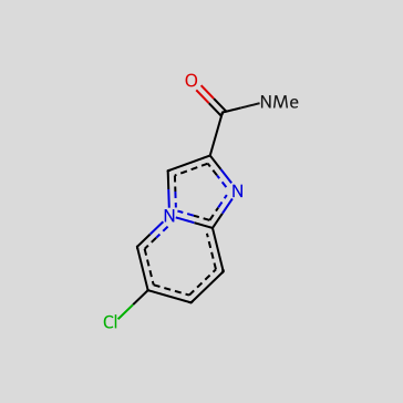 CNC(=O)c1cn2cc(Cl)ccc2n1